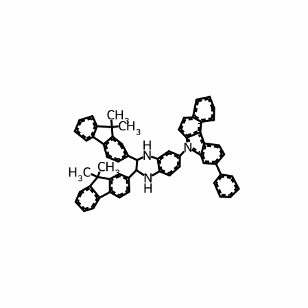 CC1(C)c2ccccc2-c2ccc(C3Nc4ccc(-n5c6cc(-c7ccccc7)ccc6c6c7ccccc7ccc65)cc4NC3c3ccc4c(c3)C(C)(C)c3ccccc3-4)cc21